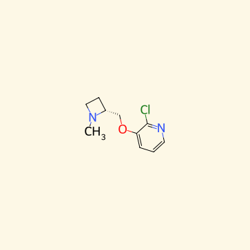 CN1CC[C@@H]1COc1cccnc1Cl